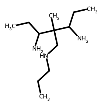 CCCNCC(C)(C(N)CC)C(N)CC